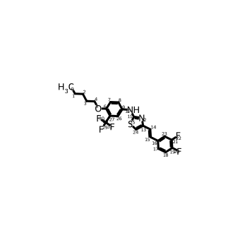 CCCCCOc1ccc(Nc2nc(C=Cc3ccc(F)c(F)c3)cs2)cc1C(F)(F)F